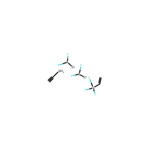 C#C[SiH3].C=C[Si](F)(F)F.CCB(F)F.CCB(F)F